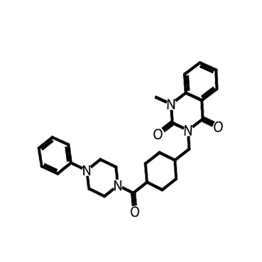 Cn1c(=O)n(CC2CCC(C(=O)N3CCN(c4ccccc4)CC3)CC2)c(=O)c2ccccc21